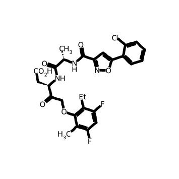 CCc1c(F)cc(F)c(C)c1OCC(=O)[C@@H](CC(=O)O)NC(=O)[C@H](C)NC(=O)c1cc(-c2ccccc2Cl)on1